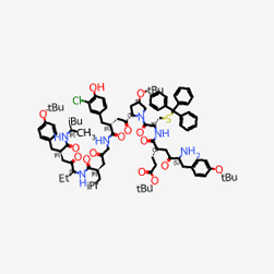 CCC(C)[C@@H](C)NC(=O)[C@@H](CC(=O)[C@H](CC)NC(=O)[C@@H](CC(=O)CNC(=O)[C@@H](CC(=O)[C@@H]1C[C@@H](OC(C)(C)C)CN1C(=O)[C@H](CSC(c1ccccc1)(c1ccccc1)c1ccccc1)NC(=O)[C@@H](CCC(=O)OC(C)(C)C)CC(=O)[C@@H](N)Cc1ccc(OC(C)(C)C)cc1)Cc1ccc(O)c(Cl)c1)CC(C)C)Cc1ccc(OC(C)(C)C)cc1